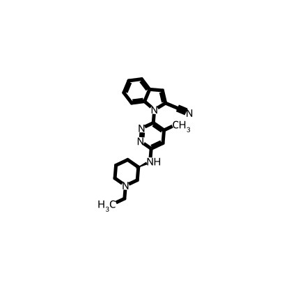 CCN1CCC[C@@H](Nc2cc(C)c(-n3c(C#N)cc4ccccc43)nn2)C1